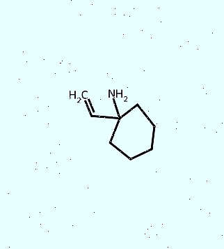 C=CC1(N)CCCCC1